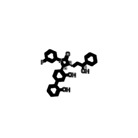 O=C1[C@H](CC[C@H](O)c2ccccc2)[C@@H](c2ccc(-c3ccccc3O)cc2O)N1c1cccc(F)c1